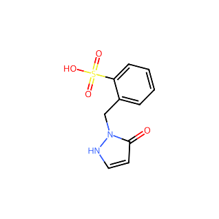 O=c1cc[nH]n1Cc1ccccc1S(=O)(=O)O